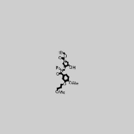 COCCCOc1cc(C(=O)N(C[C@@H]2CN(C(=O)OC(C)(C)C)C[C@@H]2O)C(C)C)ccc1OC